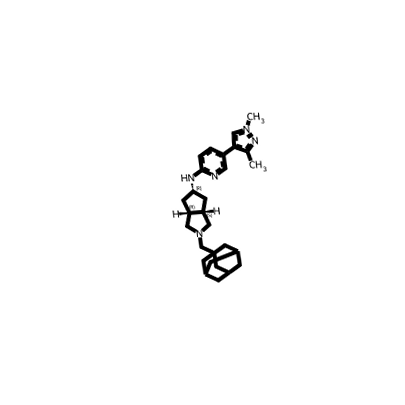 Cc1nn(C)cc1-c1ccc(N[C@@H]2C[C@@H]3CN(CC45CC6CC(CC(C6)C4)C5)C[C@@H]3C2)nc1